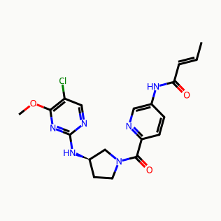 C/C=C/C(=O)Nc1ccc(C(=O)N2CC[C@@H](Nc3ncc(Cl)c(OC)n3)C2)nc1